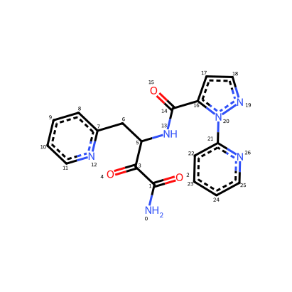 NC(=O)C(=O)C(Cc1ccccn1)NC(=O)c1ccnn1-c1ccccn1